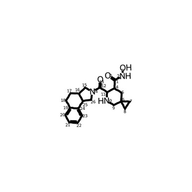 O=C(NO)C1CC2(CC2)CNC1C(=O)N1CC2CCc3ccccc3C2C1